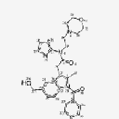 Cc1c(CC(=O)N(CCN2CCOCC2)c2nccs2)c2cc(CO)ccc2n1C(=O)c1ccccc1